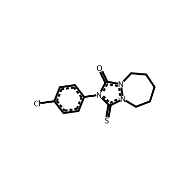 O=c1n(-c2ccc(Cl)cc2)c(=S)n2n1CCCCC2